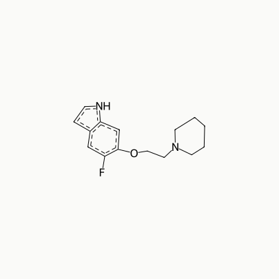 Fc1cc2cc[nH]c2cc1OCCN1CCCCC1